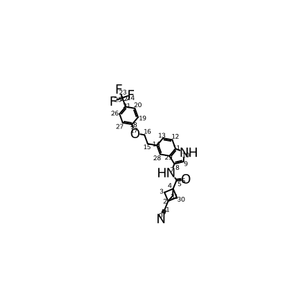 N#CC12CC(C(=O)Nc3c[nH]c4ccc(CCOc5ccc(C(F)(F)F)cc5)cc34)(C1)C2